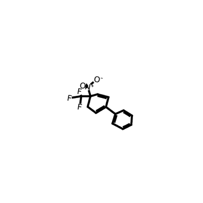 O=[N+]([O-])C1(C(F)(F)F)C=CC(c2ccccc2)=CC1